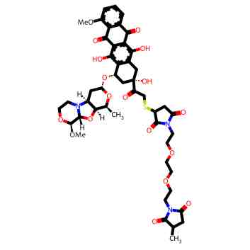 COc1cccc2c1C(=O)c1c(O)c3c(c(O)c1C2=O)C[C@@](O)(C(=O)CSC1CC(=O)N(CCOCCOCCN2C(=O)CC(C)C2=O)C1=O)C[C@@H]3O[C@H]1C[C@H]2[C@H](O[C@@H]3[C@@H](OC)OCCN32)[C@H](C)O1